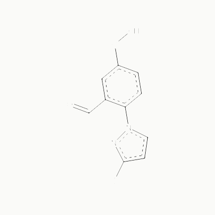 COc1ccc(-n2ccc(C)n2)c(C=O)c1